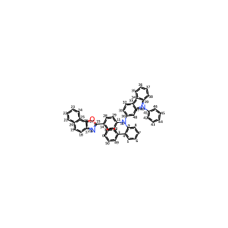 c1ccc(-c2ccccc2N(c2ccc(-c3nc4ccc5ccccc5c4o3)cc2)c2ccc3c4ccccc4n(-c4ccccc4)c3c2)cc1